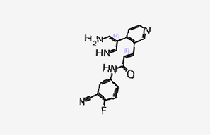 N#Cc1cc(NC(=O)/C=C/c2cnccc2/C(C=N)=C/N)ccc1F